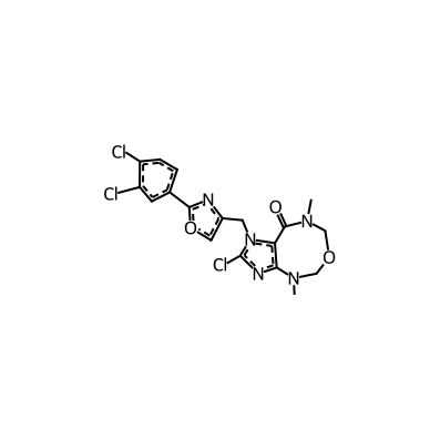 CN1COCN(C)c2nc(Cl)n(Cc3coc(-c4ccc(Cl)c(Cl)c4)n3)c2C1=O